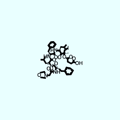 CC(C)C[C@H](NC(=O)[C@H](CCc1ccccc1)NC(=O)CN1CCOCC1)C(=O)N[C@@H](Cc1ccccc1)C(=O)N[C@@H](CC(C)C)C(=O)[C@@](C)(CI)OC(=O)CCC(=O)O